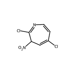 O=[N+]([O-])C1C=C(Cl)C=CN=C1Cl